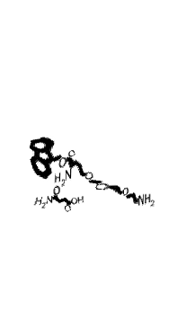 NC(=O)CCC(=O)O.NCCCOCCOCCOCCC(N)C(=O)OCC1c2ccccc2-c2ccccc21